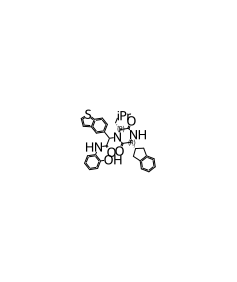 CC(C)C[C@@H]1C(=O)N[C@H](C2Cc3ccccc3C2)C(=O)N1C(C(=O)Nc1ccccc1O)c1ccc2sccc2c1